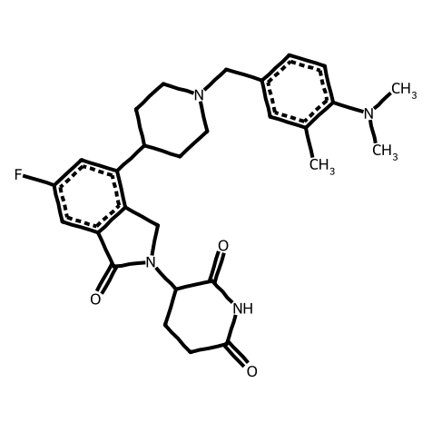 Cc1cc(CN2CCC(c3cc(F)cc4c3CN(C3CCC(=O)NC3=O)C4=O)CC2)ccc1N(C)C